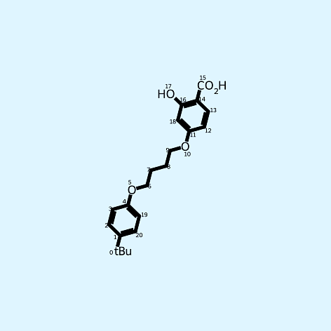 CC(C)(C)c1ccc(OCCCCOc2ccc(C(=O)O)c(O)c2)cc1